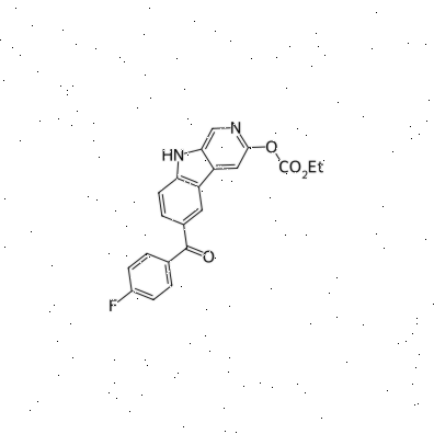 CCOC(=O)Oc1cc2c(cn1)[nH]c1ccc(C(=O)c3ccc(F)cc3)cc12